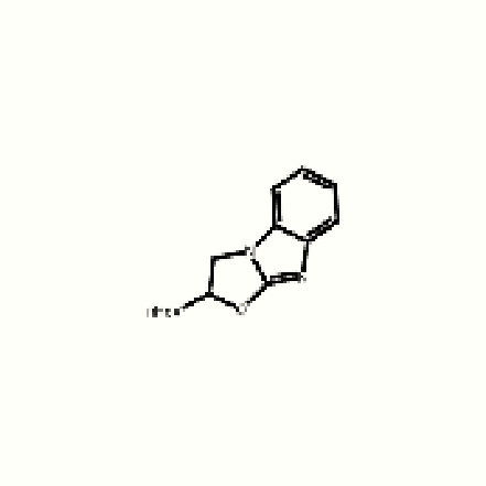 CCCCCCC1Cn2c(nc3ccccc32)O1